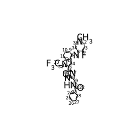 CN1CC=C(F)/C(=N/c2cccc3c2cc(-c2nc(CNC(=O)c4ccccc4)no2)n3CC(F)(F)F)CC1